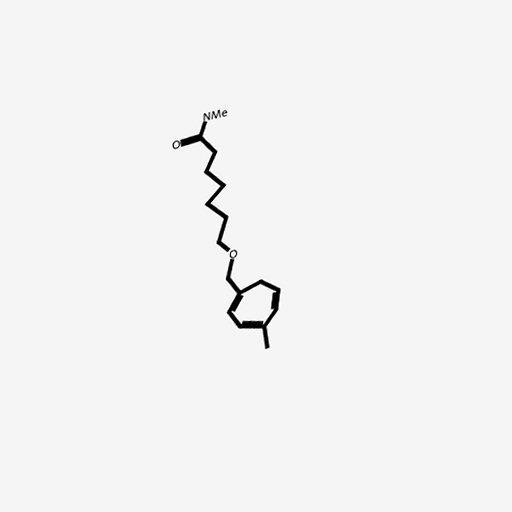 CNC(=O)CCCCCCOCC1=CC=C(C)C=CC1